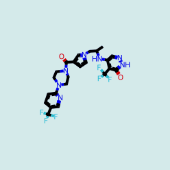 CC(Cn1ccc(C(=O)N2CCN(c3ccc(C(F)(F)F)cn3)CC2)c1)Nc1cn[nH]c(=O)c1C(F)(F)F